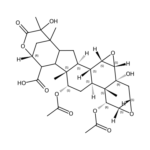 CC(=O)O[C@H]1C[C@H]2[C@@H]([C@@H]3O[C@@H]3[C@@]3(O)C[C@@H]4O[C@@H]4[C@H](OC(C)=O)[C@]23C)[C@@H]2CC3C(C(C(=O)O)[C@H]4CC3(C)C(C)(O)C(=O)O4)[C@@]12C